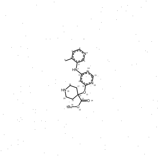 Cc1ccncc1Nc1cc(OC2(C(=O)OC(C)(C)C)CCNCC2)ncn1